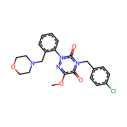 COc1nn(-c2ccccc2CN2CCOCC2)c(=O)n(Cc2ccc(Cl)cc2)c1=O